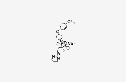 COC(=O)C1(S(=O)(=O)N2CCC(Oc3ccc(C(F)(F)F)cc3)CC2)CCN(c2ncccn2)CC1